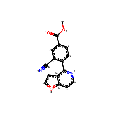 COC(=O)c1ccc(-c2nccc3occc23)c(C#N)c1